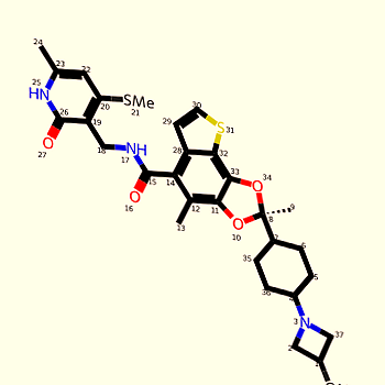 COC1CN(C2CCC([C@@]3(C)Oc4c(C)c(C(=O)NCc5c(SC)cc(C)[nH]c5=O)c5ccsc5c4O3)CC2)C1